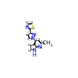 Cc1cc(-n2ccc(-c3nccs3)n2)c2c(n1)NCC2